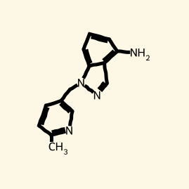 Cc1ccc(Cn2ncc3c(N)cccc32)cn1